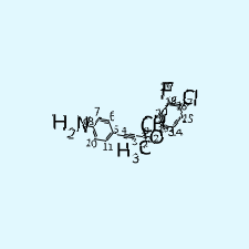 CC(C)(C#Cc1ccc(N)cc1)Oc1ccc(Cl)c(F)c1